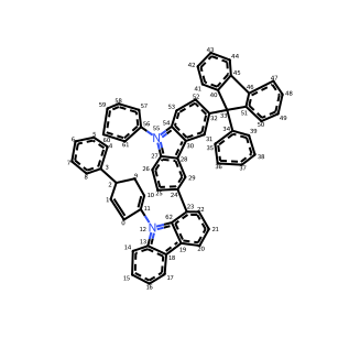 C1=CC(c2ccccc2)CC=C1n1c2ccccc2c2cccc(-c3ccc4c(c3)c3cc(C5(c6ccccc6)c6ccccc6-c6ccccc65)ccc3n4-c3ccccc3)c21